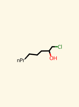 CCCCCCC(O)CCl